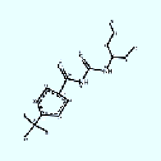 CCCC(CC)NC(=S)NC(=O)c1ccc(C(C)(C)C)cc1